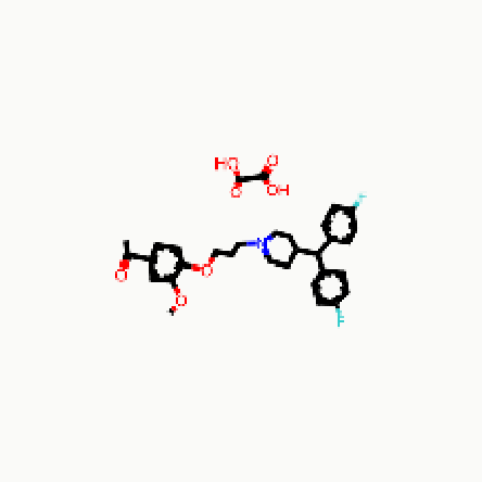 COc1cc(C(C)=O)ccc1OCCCN1CCC(C(c2ccc(F)cc2)c2ccc(F)cc2)CC1.O=C(O)C(=O)O